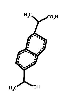 CC(O)c1ccc2cc(C(C)C(=O)O)ccc2c1